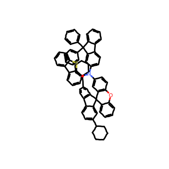 c1ccc(C2(c3ccccc3)c3ccccc3-c3ccc(N(c4ccc5c(c4)C4(c6ccccc6O5)c5cc(C6CCCCC6)ccc5-c5ccc(C6CCCCC6)cc54)c4cccc5c4sc4ccccc45)cc32)cc1